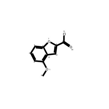 COc1cccc2oc(C(=O)Cl)cc12